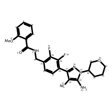 COc1ccccc1C(=O)NCc1ccc(-c2nn(C3CCCOC3)c(N)c2C#N)c(F)c1F